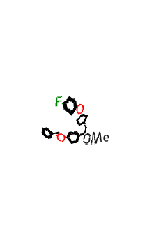 COC(C[C@H]1CC[C@H](Oc2ccc(F)cc2)C1)c1ccc(OCc2ccccc2)cc1